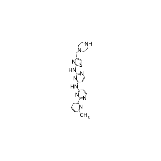 Cc1cccc(-c2nccc(Nc3ccnc(Nc4nc(CN5CCNCC5)cs4)n3)n2)n1